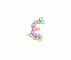 O=C(COC(=O)C(F)(F)F)Nc1ccc(F)cc1OC[C@H](O)CN1CCC(Oc2ccc(Cl)c(Cl)c2)CC1